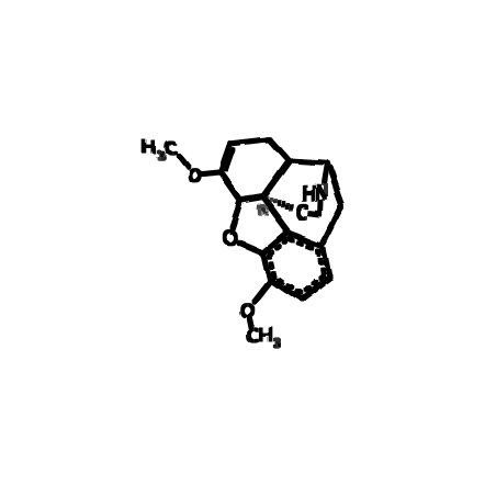 COC1=CCC2C3Cc4ccc(OC)c5c4[C@@]2(CCN3)C1O5